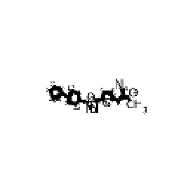 CC(=O)/C(C#N)=C/c1ccc(-c2nnc(-c3ccc(-c4ccccc4)cc3)o2)s1